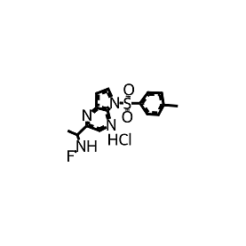 Cc1ccc(S(=O)(=O)n2ccc3nc(C(C)NF)cnc32)cc1.Cl